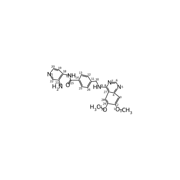 COc1cc2ncnc(NCc3ccc(C(=O)Nc4ccncc4N)cc3)c2cc1OC